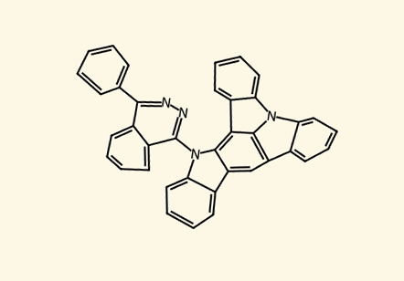 c1ccc(-c2nnc(-n3c4ccccc4c4cc5c6ccccc6n6c7ccccc7c(c43)c56)c3ccccc23)cc1